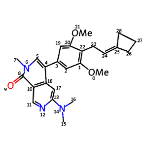 COc1cc(-c2cn(C)c(=O)c3cnc(N(C)C)cc23)cc(OC)c1CC=C1CCC1